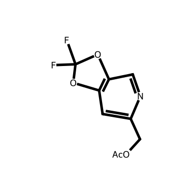 CC(=O)OCc1cc2c(cn1)OC(F)(F)O2